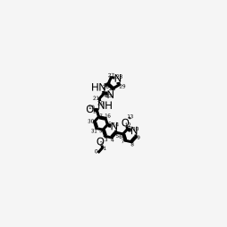 CCOc1cc(-c2cccnc2OC)nc2cc(C(=O)NCc3nc4c([nH]3)CN=C4)ccc12